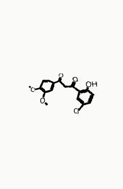 COc1ccc(C(=O)CC(=O)c2cc(Cl)ccc2O)cc1OC